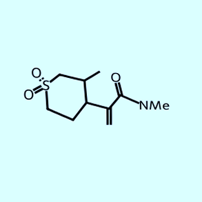 C=C(C(=O)NC)C1CCS(=O)(=O)CC1C